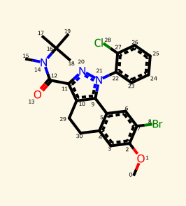 COc1cc2c(cc1Br)-c1c(c(C(=O)N(C)C(C)(C)C)nn1-c1ccccc1Cl)CC2